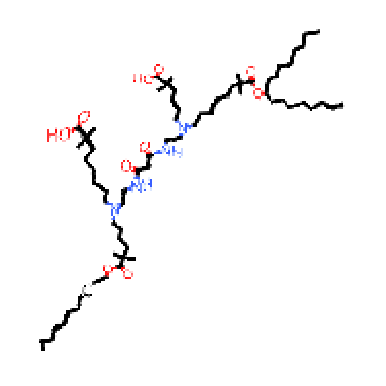 CCCCCCCCCCCOC(=O)C(C)(C)CCCCN(CCCCCCC(C)(C)C(=O)O)CCNC(=O)CC(=O)NCCN(CCCCCCC(C)(C)C(=O)OC(CCCCCCCC)CCCCCCCC)CCCCC(C)(C)C(=O)O